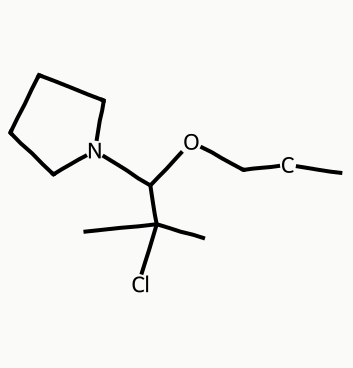 CCCOC(N1CCCC1)C(C)(C)Cl